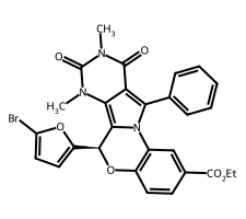 CCOC(=O)c1ccc2c(c1)-n1c(-c3ccccc3)c3c(=O)n(C)c(=O)n(C)c3c1[C@H](c1ccc(Br)o1)O2